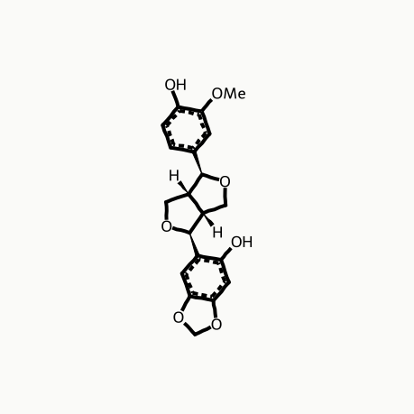 COc1cc([C@H]2OC[C@H]3[C@@H]2CO[C@@H]3c2cc3c(cc2O)OCO3)ccc1O